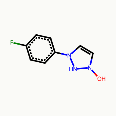 ON1C=CN(c2ccc(F)cc2)N1